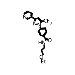 CCOCCCNC(=O)c1ccc(-n2nc(-c3cccnc3)cc2C(F)(F)F)cc1